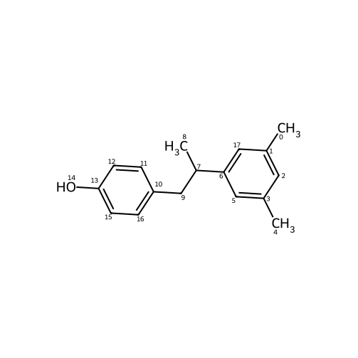 Cc1cc(C)cc(C(C)Cc2ccc(O)cc2)c1